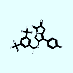 C[C@@H](O[C@H]1CN2C(=O)C(=O)CC2=C1c1ccc(F)cc1)c1cc(C(F)(F)F)cc(C(F)(F)F)c1